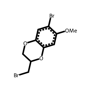 COc1cc2c(cc1Br)OCC(CBr)O2